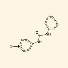 O=C(Nc1ccccc1)Nc1cc[n+]([O-])cc1